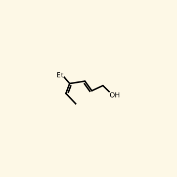 CC=C(C=CCO)CC